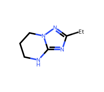 CCc1nc2n(n1)CCCN2